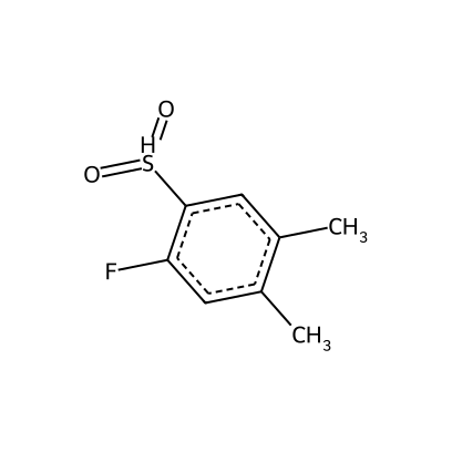 Cc1cc(F)c([SH](=O)=O)cc1C